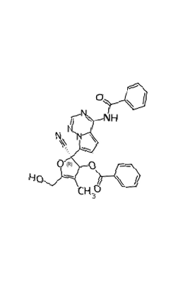 CC1=C(CO)O[C@@](C#N)(c2ccc3c(NC(=O)c4ccccc4)ncnn23)C1OC(=O)c1ccccc1